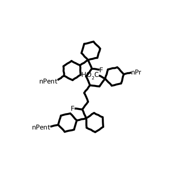 CCCCCC1CCC(C2(C(F)CCC(CC(F)C3(C4CCC(CCCCC)CC4)CCCCC3)CC3(C(=O)O)CCC(CCC)CC3)CCCCC2)CC1